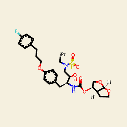 CC(C)CN(C[C@@H](O)[C@H](Cc1ccc(OCCCc2ccc(F)cc2)cc1)NC(=O)O[C@H]1CO[C@H]2OCC[C@H]21)[SH](=O)=O